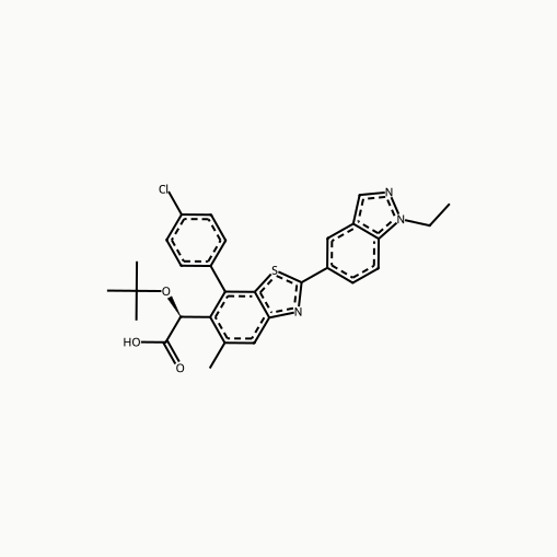 CCn1ncc2cc(-c3nc4cc(C)c([C@H](OC(C)(C)C)C(=O)O)c(-c5ccc(Cl)cc5)c4s3)ccc21